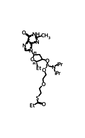 CCC(=O)SCCOCCOP(OC1C[C@H](n2cnc3c(=O)[nH]c(C)nc32)O[C@@H]1CC)N(C(C)C)C(C)C